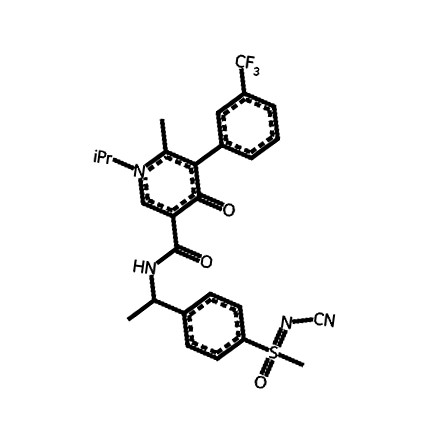 Cc1c(-c2cccc(C(F)(F)F)c2)c(=O)c(C(=O)NC(C)c2ccc(S(C)(=O)=NC#N)cc2)cn1C(C)C